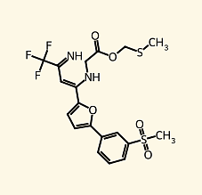 CSCOC(=O)CN/C(=C\C(=N)C(F)(F)F)c1ccc(-c2cccc(S(C)(=O)=O)c2)o1